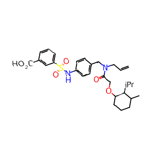 C=CCN(Cc1ccc(NS(=O)(=O)c2cccc(C(=O)O)c2)cc1)C(=O)COC1CCCC(C)C1C(C)C